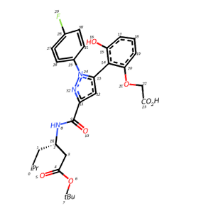 CC(C)C[C@@H](CC(=O)OC(C)(C)C)NC(=O)c1cc(-c2c(O)cccc2OCC(=O)O)n(C2=C=C=C(F)C=C2)n1